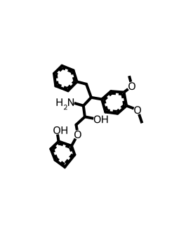 COc1ccc(C(Cc2ccccc2)C(N)C(O)COc2ccccc2O)cc1OC